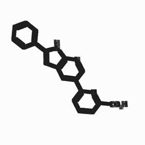 O=C(O)c1cccc(-c2cnc3[nH]c(-c4ccccc4)cc3c2)n1